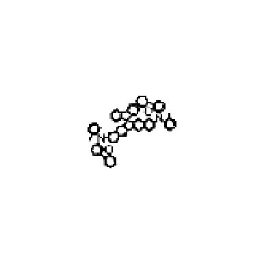 Cc1ccccc1N(c1ccc2cc3c(cc2c1)C1(c2ccccc2-c2ccccc21)c1cc2cc(N(c4ccccc4C)c4cccc5c4oc4ccccc45)ccc2cc1-3)c1cccc2c1oc1ccccc12